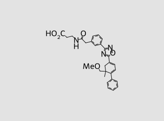 COCC1(C)CC(c2nc(-c3cccc(CC(=O)NCCC(=O)O)c3)no2)=CC=C1c1ccccc1